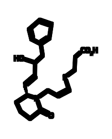 O=C(O)CCS/C=C\CN1C(=O)CCC[C@@H]1/C=C/C(O)Cc1ccccc1